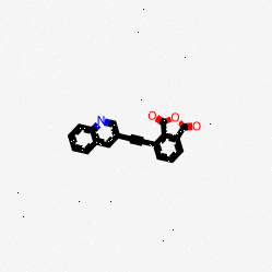 O=C1OC(=O)c2c(C#Cc3cnc4ccccc4c3)cccc21